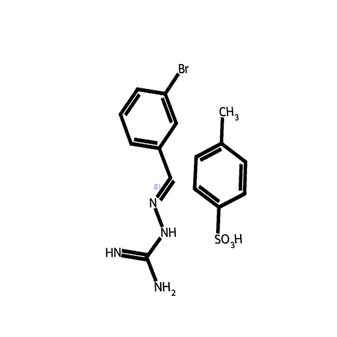 Cc1ccc(S(=O)(=O)O)cc1.N=C(N)N/N=C/c1cccc(Br)c1